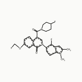 Cc1cc2c(F)c(-n3cc(C(=O)N4CCC(F)CC4)c4ccc(OCF)cc4c3=O)ccc2n1C